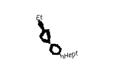 CCC#Cc1ccc([C@H]2CC[C@H](CCCCCCC)CC2)cc1